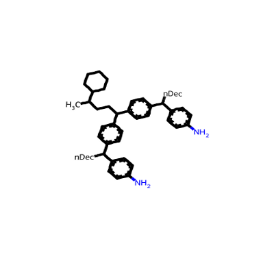 CCCCCCCCCCC(c1ccc(N)cc1)c1ccc(C(CCC(C)C2CCCCC2)c2ccc(C(CCCCCCCCCC)c3ccc(N)cc3)cc2)cc1